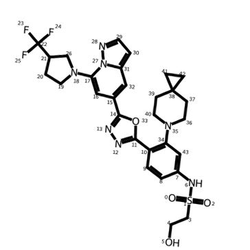 O=S(=O)(CCO)Nc1ccc(-c2nnc(-c3cc(N4CCC(C(F)(F)F)C4)n4nccc4c3)o2)c(N2CCC3(CC2)CC3)c1